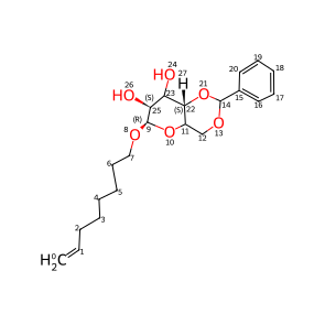 C=CCCCCCCO[C@@H]1OC2COC(c3ccccc3)O[C@H]2C(O)[C@@H]1O